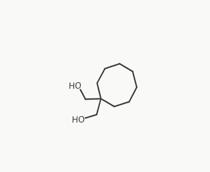 OCC1(CO)CCCCCCC1